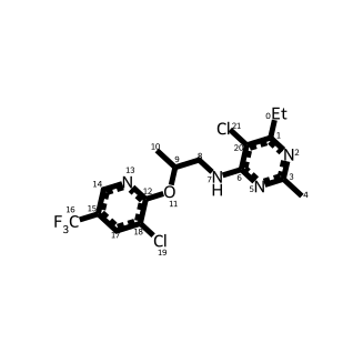 CCc1nc(C)nc(NCC(C)Oc2ncc(C(F)(F)F)cc2Cl)c1Cl